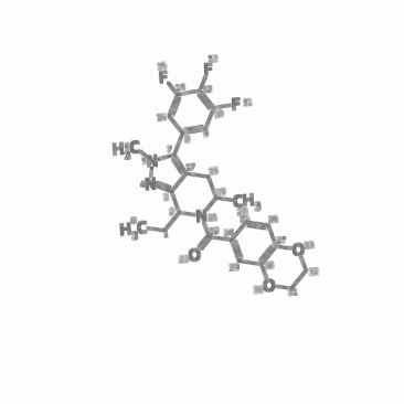 CCC1c2nn(C)c(-c3cc(F)c(F)c(F)c3)c2CC(C)N1C(=O)c1ccc2c(c1)OCCO2